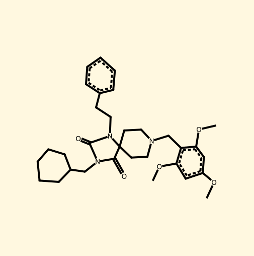 COc1cc(OC)c(CN2CCC3(CC2)C(=O)N(CC2CCCCC2)C(=O)N3CCc2ccccc2)c(OC)c1